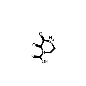 O=C1[SH4]CCN(C(O)=S)C1=O